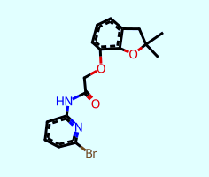 CC1(C)Cc2cccc(OCC(=O)Nc3cccc(Br)n3)c2O1